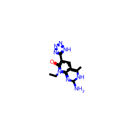 CCn1c(=O)c(-c2nnn[nH]2)cc2c1=NC(N)NC=2C